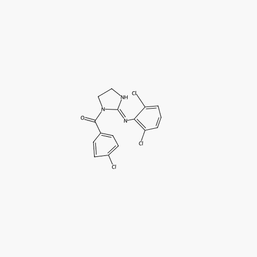 O=C(c1ccc(Cl)cc1)N1CCNC1=Nc1c(Cl)cccc1Cl